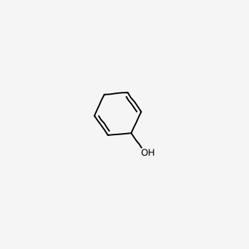 OC1C=CCC=C1